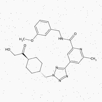 COc1cccc(CNC(=O)c2cc(-c3nnn(C[C@H]4CC[C@H](C(=O)CO)CC4)n3)cc(C)n2)c1